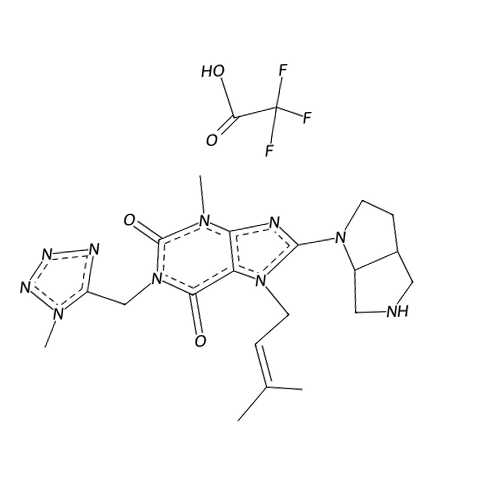 CC(C)=CCn1c(N2CCC3CNCC32)nc2c1c(=O)n(Cc1nnnn1C)c(=O)n2C.O=C(O)C(F)(F)F